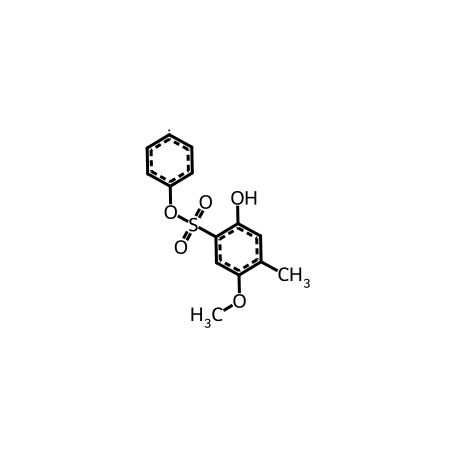 COc1cc(S(=O)(=O)Oc2cc[c]cc2)c(O)cc1C